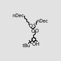 CCCCCCCCCCCCCCCCOCC(CSCCCCCCCCCCCC)OC(=O)CCc1cc(C)c(O)c(C(C)(C)CC(C)(C)C)c1